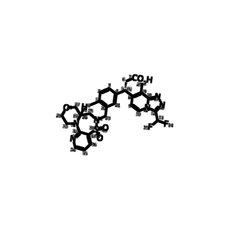 Cc1ccc([C@H](CC(=O)O)c2ccn3c(C(F)F)nnc3c2C)cc1CN1C[C@H]2COCCN2c2ncccc2S1(=O)=O